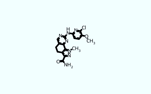 COc1ccc(Nc2ncc3c(n2)-c2c(c(C(N)=O)nn2C)CC3)nc1Cl